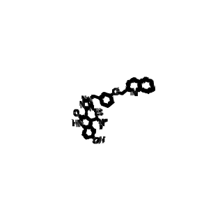 CCC(c1c(-c2nnn(Cc3cccc(OCc4ccc5ccccc5n4)c3)n2)c(=O)[nH]c2ccc(O)cc12)N(C)C